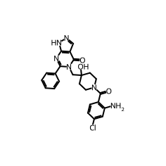 Nc1cc(Cl)ccc1C(=O)N1CCC(O)(Cn2c(-c3ccccc3)nc3[nH]ncc3c2=O)CC1